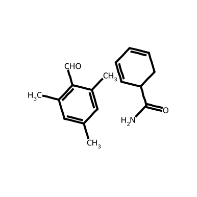 Cc1cc(C)c(C=O)c(C)c1.NC(=O)C1C=CC=CC1